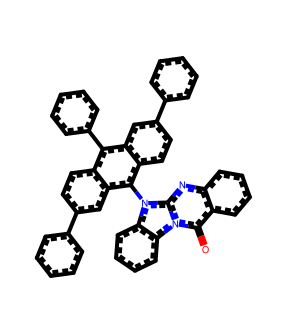 O=c1c2ccccc2nc2n(-c3c4ccc(-c5ccccc5)cc4c(-c4ccccc4)c4ccc(-c5ccccc5)cc34)c3ccccc3n12